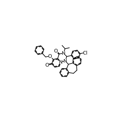 CC(C)N1C(=O)c2c(OCc3ccccc3)c(=O)ccn2N(C2c3ccccc3CCc3ccccc32)C1c1ccc(Cl)cc1